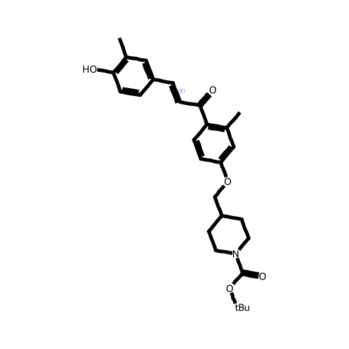 Cc1cc(/C=C/C(=O)c2ccc(OCC3CCN(C(=O)OC(C)(C)C)CC3)cc2C)ccc1O